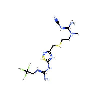 CN(CCSCc1nsc(NC(N)=NCC(F)(F)F)n1)C(N)=NC#N